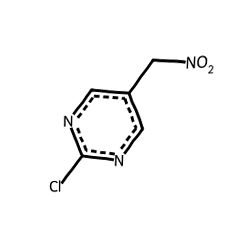 O=[N+]([O-])Cc1cnc(Cl)nc1